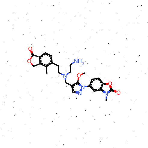 COc1c(CN(CCN)CCc2ccc3c(c2C)COC3=O)cnn1-c1ccc2oc(=O)n(C)c2c1